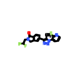 Cc1c(-c2ccc3c(c2)CN(CC(F)F)C3=O)nnn1-c1cccnc1F